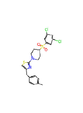 Cc1ccc(Cc2csc(N3CCC(S(=O)(=O)c4cc(Cl)cc(Cl)c4)CC3)n2)cc1